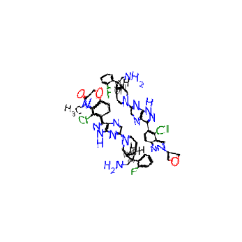 CN1C(=O)COc2ccc(-c3n[nH]c4nc(N5CC[C@@H]6[C@H](C5)[C@@]6(CN)c5ccccc5F)cnc34)c(Cl)c21.NC[C@]1(c2ccccc2F)[C@@H]2CCN(c3cnc4c(-c5ccc6nn(C7COC7)cc6c5Cl)n[nH]c4n3)C[C@@H]21